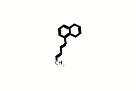 CC=CC=Cc1cccc2c1[CH]C=CC2